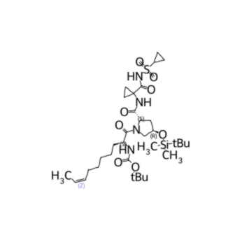 C/C=C\CCCCC[C@H](NC(=O)OC(C)(C)C)C(=O)N1C[C@H](O[Si](C)(C)C(C)(C)C)C[C@H]1C(=O)NC1(C(=O)NS(=O)(=O)C2CC2)CC1